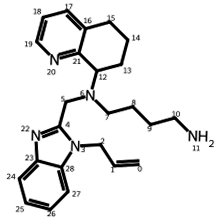 C=CCn1c(CN(CCCCN)C2CCCc3cccnc32)nc2ccccc21